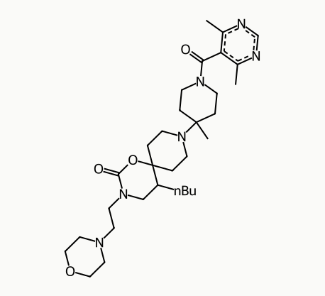 CCCCC1CN(CCN2CCOCC2)C(=O)OC12CCN(C1(C)CCN(C(=O)c3c(C)ncnc3C)CC1)CC2